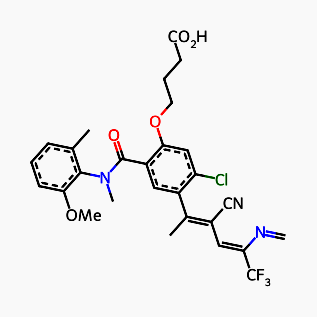 C=N/C(=C\C(C#N)=C(/C)c1cc(C(=O)N(C)c2c(C)cccc2OC)c(OCCCC(=O)O)cc1Cl)C(F)(F)F